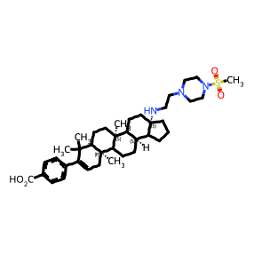 CC1(C)C(c2ccc(C(=O)O)cc2)=CC[C@@]2(C)C1CC[C@@]1(C)C3CC[C@@]4(NCCN5CCN(S(C)(=O)=O)CC5)CCCC4[C@H]3CCC12